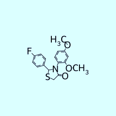 COc1ccc(N2C(=O)CSC2c2ccc(F)cc2)c(OC)c1